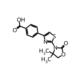 CC1(C)COC(=O)N1c1nc(-c2ccc(C(=O)O)cc2)cs1